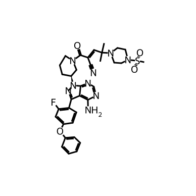 CC(C)(C=C(C#N)C(=O)N1CCC[C@H](n2nc(-c3ccc(Oc4ccccc4)cc3F)c3c(N)ncnc32)C1)N1CCN(S(C)(=O)=O)CC1